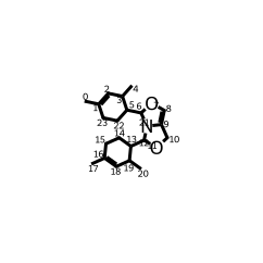 CC1=CC(C)C(C2OC=C3COC(C4CCC(C)=CC4C)N32)CC1